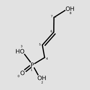 O=P(O)(O)C/C=C/[CH]O